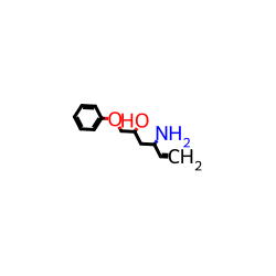 C=CC(N)CC(O)COc1ccccc1